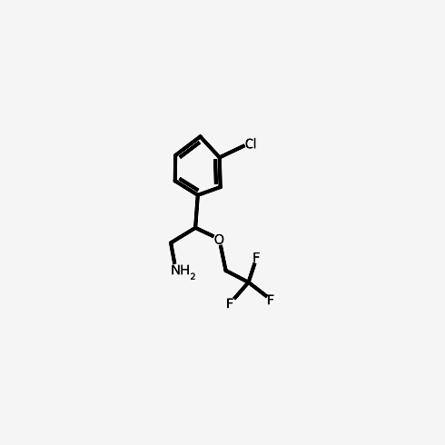 NCC(OCC(F)(F)F)c1cccc(Cl)c1